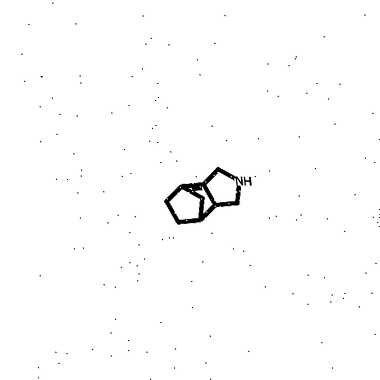 C1CC2CC1=C1CNCC12